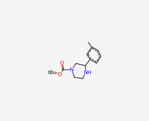 Cc1cccc(C2CN(C(=O)OC(C)(C)C)CCN2)c1